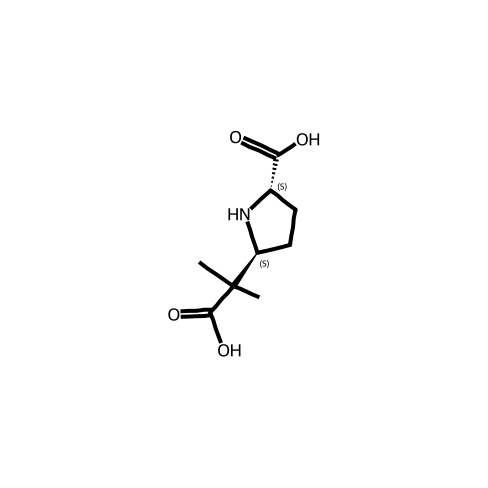 CC(C)(C(=O)O)[C@@H]1CC[C@@H](C(=O)O)N1